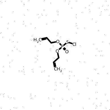 C=CCOP(=O)(OCC=C)SCl